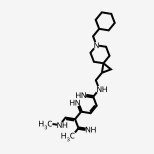 CN/C=C(\C(C)=N)C(=N)/C=C\C(=N)NCC1CC12CCN(CC1CCCCC1)CC2